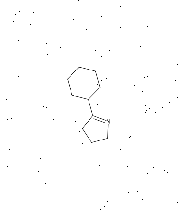 C1CCC(C2=NCCC2)CC1